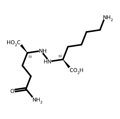 NCCCC[C@H](NN[C@@H](CCC(N)=O)C(=O)O)C(=O)O